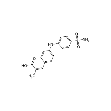 CC(=Cc1ccc(Nc2ccc(S(N)(=O)=O)cc2)cc1)C(=O)O